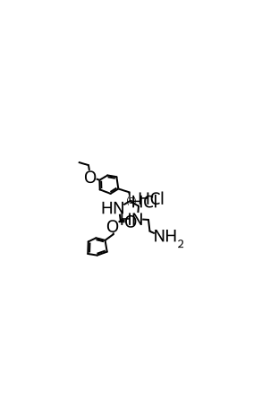 CCOc1ccc(C[C@@H](CNCCN)NC(=O)OCc2ccccc2)cc1.Cl.Cl